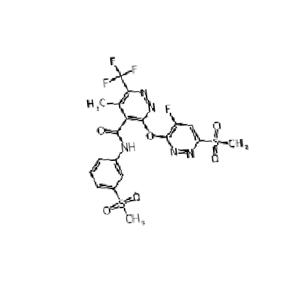 Cc1c(C(F)(F)F)nnc(Oc2nnc(S(C)(=O)=O)cc2F)c1C(=O)Nc1cccc(S(C)(=O)=O)c1